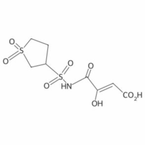 O=C(O)C=C(O)C(=O)NS(=O)(=O)C1CCS(=O)(=O)C1